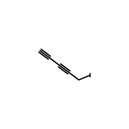 C#CC#CCI